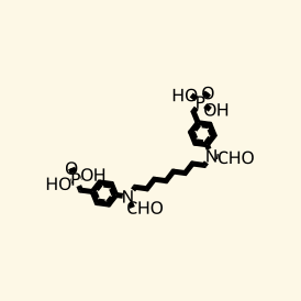 O=CN(CCCCCCCCN(C=O)c1ccc(CP(=O)(O)O)cc1)c1ccc(CP(=O)(O)O)cc1